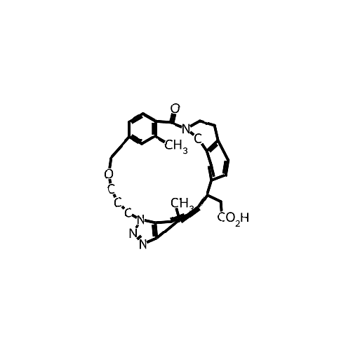 Cc1cc2ccc1C(=O)N1CCc3ccc(cc3C1)C(CC(=O)O)c1ccc3c(nnn3CCCOC2)c1C